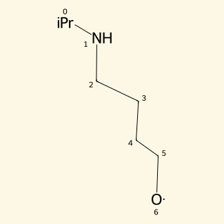 CC(C)NCCCC[O]